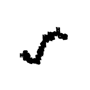 O=C1CC[C@@H](c2cccc(OCC(=O)N3CC(N4CCC5(CC4)CC(N4CCN(c6ccc(Nc7ncnc8c7ncn8C7CC(NC(=O)Cc8ccccc8)C7)cc6)CC4)C5)C3)c2)C(=O)N1